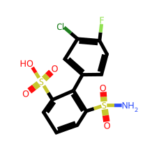 NS(=O)(=O)c1cccc(S(=O)(=O)O)c1-c1ccc(F)c(Cl)c1